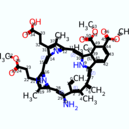 C=CC1=C(/C)C(=C)/C=C2\N/C(=C\C3=NC(=C\c4[nH]c(c(C)c4CCC(=O)OC)\C=C\1N)/C(CCC(=O)O)=C3C)[C@]1(C)C2=CC=C(C(=O)OC)C1C(=O)OC